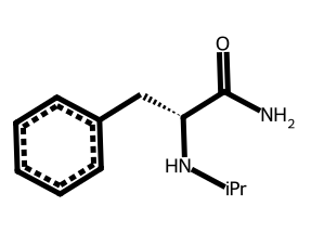 CC(C)N[C@H](Cc1ccccc1)C(N)=O